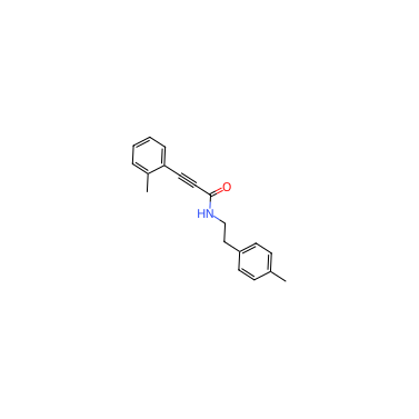 Cc1ccc(CCNC(=O)C#Cc2ccccc2C)cc1